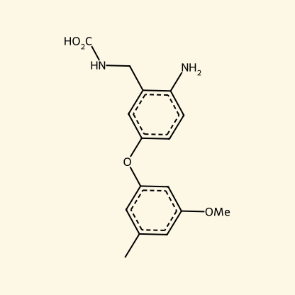 COc1cc(C)cc(Oc2ccc(N)c(CNC(=O)O)c2)c1